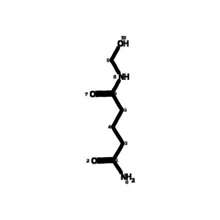 NC(=O)CCCC(=O)NCO